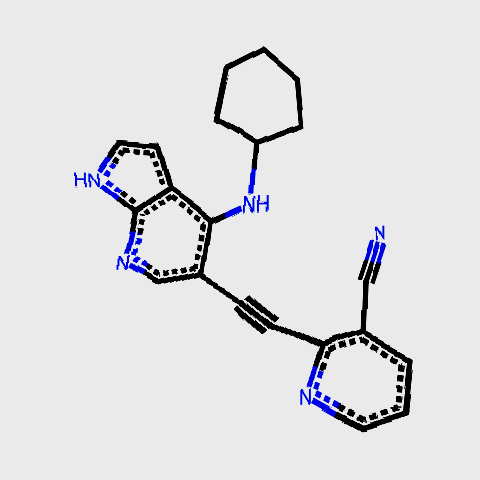 N#Cc1cccnc1C#Cc1cnc2[nH]ccc2c1NC1CCCCC1